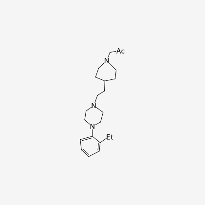 CCc1ccccc1N1CCN(CCC2CCN(CC(C)=O)CC2)CC1